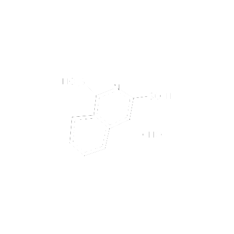 O=Cc1c(S(=O)(=O)O)nc(S(=O)(=O)O)c2ccccc12